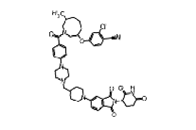 CC1CCCC(Oc2ccc(C#N)c(Cl)c2)CN(C(=O)c2ccc(N3CCN(CC4CCN(c5ccc6c(c5)C(=O)N(C5CCC(=O)NC5=O)C6=O)CC4)CC3)cc2)C1